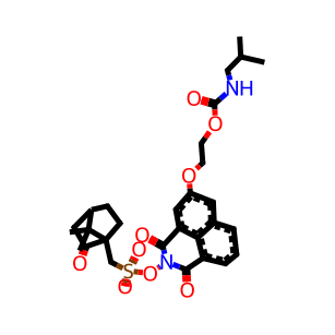 CC(C)CNC(=O)OCCOc1cc2c3c(cccc3c1)C(=O)N(OS(=O)(=O)CC13CCC(CC1=O)C3(C)C)C2=O